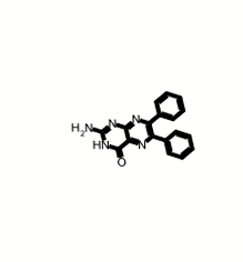 Nc1nc2nc(-c3ccccc3)c(-c3ccccc3)nc2c(=O)[nH]1